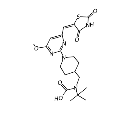 COc1cc(C=C2SC(=O)NC2=O)nc(N2CCC(CN(C(=O)O)C(C)(C)C)CC2)n1